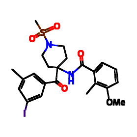 COc1cccc(C(=O)NC2(C(=O)c3cc(C)cc(I)c3)CCN(S(C)(=O)=O)CC2)c1C